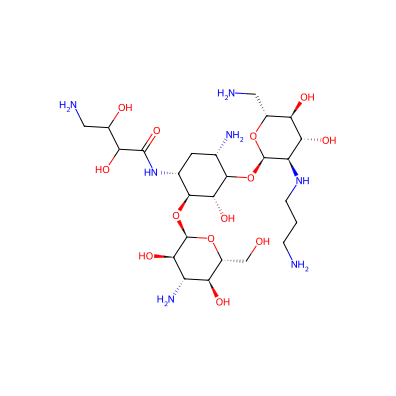 NCCCN[C@H]1[C@@H](OC2[C@@H](N)C[C@@H](NC(=O)C(O)C(O)CN)[C@H](O[C@H]3O[C@H](CO)[C@@H](O)[C@H](N)[C@H]3O)[C@H]2O)O[C@H](CN)[C@@H](O)[C@@H]1O